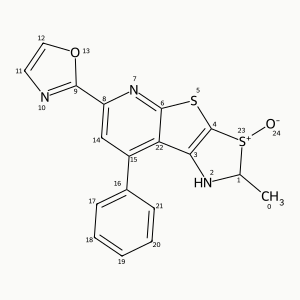 CC1Nc2c(sc3nc(-c4ncco4)cc(-c4ccccc4)c23)[S+]1[O-]